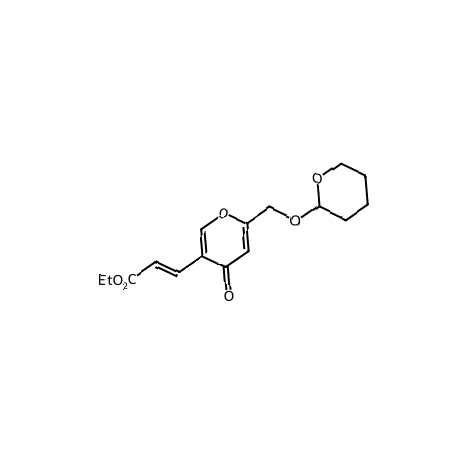 CCOC(=O)/C=C/c1coc(COC2CCCCO2)cc1=O